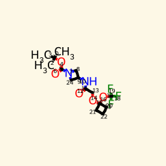 CC(C)(C)OC(=O)N1CC(NC(=O)COC2(OC(F)(F)F)CCC2)C1